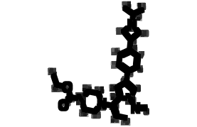 C=Nn1cc(-c2ccc(C3CN(C(C)C)C3)cc2)cc1/C(=C\C)N1CCN(C(=O)OCC)CC1